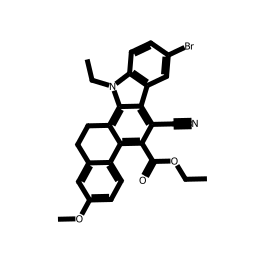 CCOC(=O)c1c2c(c3c(c1C#N)c1cc(Br)ccc1n3CC)CCc1cc(OC)ccc1-2